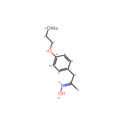 COCCOc1ccc(CC(C)=NO)cc1